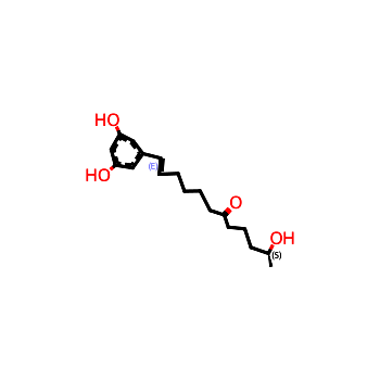 C[C@H](O)CCCC(=O)CCCC/C=C/c1cc(O)cc(O)c1